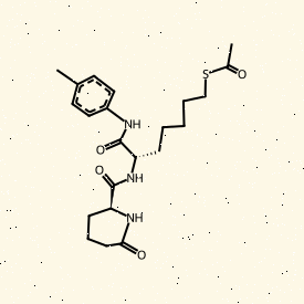 CC(=O)SCCCCC[C@H](NC(=O)[C@@H]1CCCC(=O)N1)C(=O)Nc1ccc(C)cc1